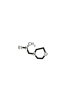 CCN(C)CN1CCOCC1